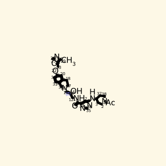 CC(=O)N1CCC(Nc2cc(C(=O)NC/C(O)=C/N3CCc4cc(OCc5ocnc5C)ccc4C3)ncn2)CC1